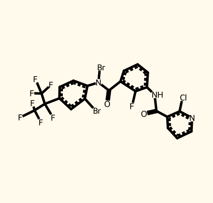 O=C(Nc1cccc(C(=O)N(Br)c2ccc(C(F)(C(F)(F)F)C(F)(F)F)cc2Br)c1F)c1cccnc1Cl